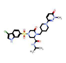 CC(C)NC(=O)[C@H]1CN(S(=O)(=O)c2ccc3c(Cl)c[nH]c3c2)CC(=O)N1CC1CCN(c2ccc(=O)n(C)n2)CC1